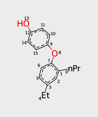 CCCc1cc(CC)ccc1Oc1ccc(O)cc1